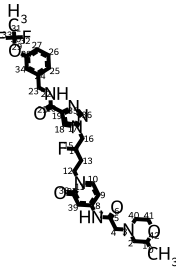 CC1CN(CC(=O)Nc2ccn(CCC(F)Cn3cc(C(=O)NCc4cccc(OC(C)(F)F)c4)nn3)c(=O)c2)CCO1